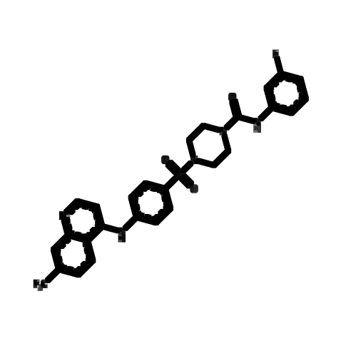 O=C(Nc1cccc(F)c1)N1CCN(S(=O)(=O)c2ccc(Nc3ccnc4cc(C(F)(F)F)ccc34)cc2)CC1